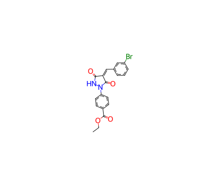 CCOC(=O)c1ccc(N2NC(=O)/C(=C/c3cccc(Br)c3)C2=O)cc1